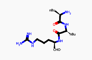 CCCC[C@@H](N)C(=O)N[C@H](CCCC)C(=O)N[C@@H]([C]=O)CCCNC(=N)N